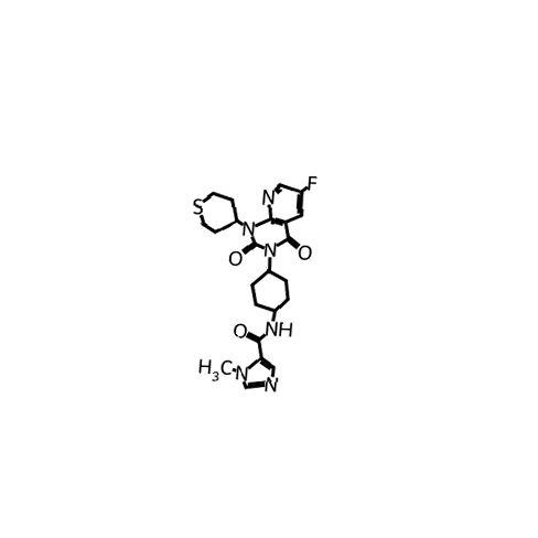 Cn1cncc1C(=O)NC1CCC(n2c(=O)c3cc(F)cnc3n(C3CCSCC3)c2=O)CC1